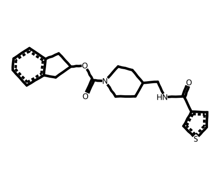 O=C(NCC1CCN(C(=O)OC2Cc3ccccc3C2)CC1)c1ccsc1